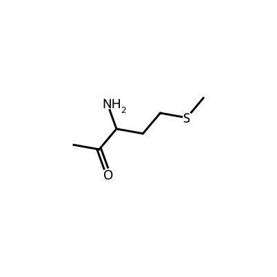 CSCCC(N)C(C)=O